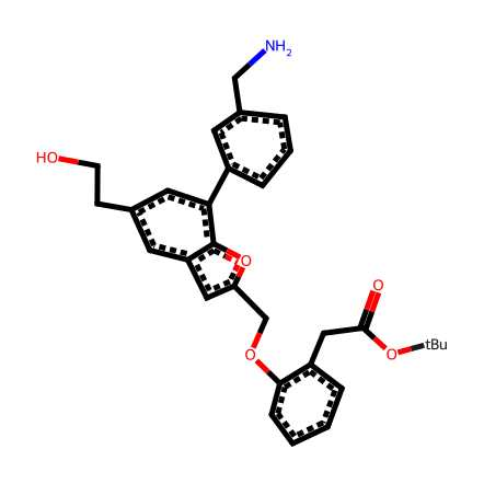 CC(C)(C)OC(=O)Cc1ccccc1OCc1cc2cc(CCO)cc(-c3cccc(CN)c3)c2o1